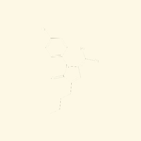 CCCCC1=CC(=C(Br)Br)N(c2ccc(Br)cc2)C1=O